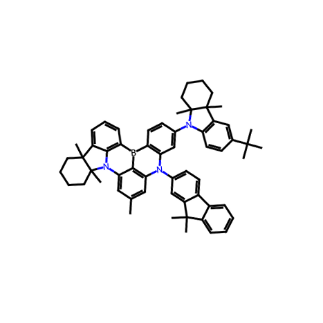 Cc1cc2c3c(c1)N1c4c(cccc4C4(C)CCCCC14C)B3c1ccc(N3c4ccc(C(C)(C)C)cc4C4(C)CCCCC34C)cc1N2c1ccc2c(c1)C(C)(C)c1ccccc1-2